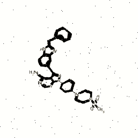 CS(=O)(=O)N1CCN([C@H]2CC[C@@H](n3nc(-c4ccc5[nH]c(Cc6ccccc6)nc5c4)c4c(N)ncnc43)CC2)CC1